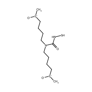 C[S+]([O-])CCCCN(CCCC[S+](C)[O-])C(=O)NS